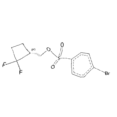 O=S(=O)(OC[C@H]1CCC1(F)F)c1ccc(Br)cc1